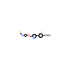 COc1ccc(-c2ccc(CO[C@H]3C[C@H](N=C=S)C3)nc2)cc1F